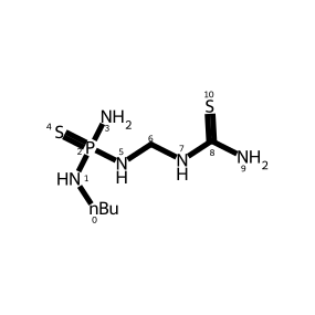 CCCCNP(N)(=S)NCNC(N)=S